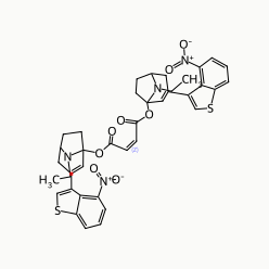 CCN1C2CCC1(OC(=O)/C=C\C(=O)OC13C=C(c4csc5cccc([N+](=O)[O-])c45)CC(CC1)N3CC)C=C(c1csc3cccc([N+](=O)[O-])c13)C2